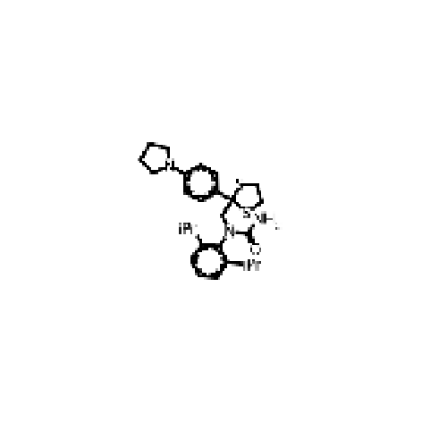 CC(C)c1cccc(C(C)C)c1N(CC1(c2ccc(N3CCCC3)cc2)SCCS1)C(N)=O